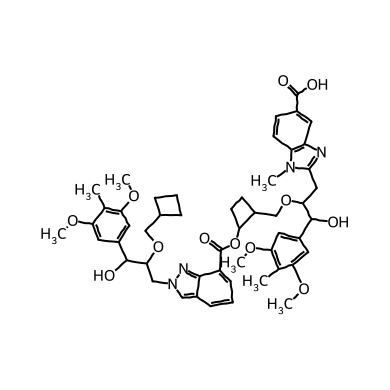 COc1cc(C(O)C(Cc2nc3cc(C(=O)O)ccc3n2C)OCC2CCC2OC(=O)c2cccc3cn(CC(OCC4CCC4)C(O)c4cc(OC)c(C)c(OC)c4)nc23)cc(OC)c1C